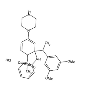 COc1cc(OC)cc(C(C)C2(Nc3ccccc3)C=C(N3CCNCC3)C=CC2S(C)(=O)=O)c1.Cl